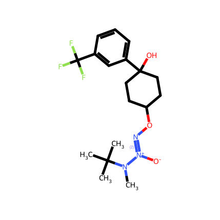 CN(/[N+]([O-])=N/OC1CCC(O)(c2cccc(C(F)(F)F)c2)CC1)C(C)(C)C